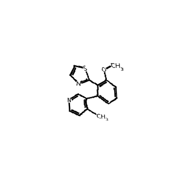 COc1cccc(-c2cnccc2C)c1-c1nccs1